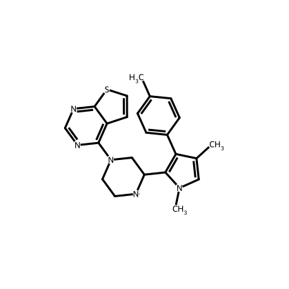 Cc1ccc(-c2c(C)cn(C)c2C2CN(c3ncnc4sccc34)CC[N]2)cc1